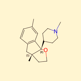 Cc1ccc2c(c1)[C@]1(C3CCN(C)CC3)OCC[C@]1(C)C2